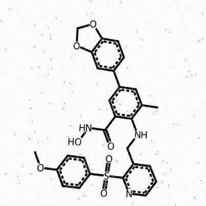 COc1ccc(S(=O)(=O)c2ncccc2CNc2c(C)cc(-c3ccc4c(c3)OCO4)cc2C(=O)NO)cc1